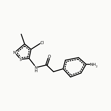 Cc1nsc(NC(=O)Cc2ccc(N)cc2)c1Cl